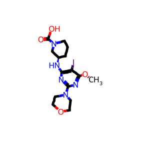 COc1nc(N2CCOCC2)nc(N[C@@H]2CCCN(C(=O)O)C2)c1I